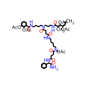 C=C/C=C(OC(C)=O)\C(OC(C)=O)=C(/C)C(=O)NCCCN(CCCCNC(=O)c1cccc(OC(C)=O)c1OC(C)=O)C(=O)CCC(=O)NCCCCCN(OC(C)=O)C(=O)CCC(=O)N[C@@H](C(N)=O)c1ccccc1